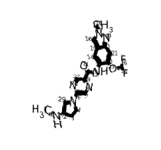 CN[C@@H]1CCN(c2cnc(C(=O)Nc3cc4cn(C)nc4cc3OC(F)F)cn2)C1